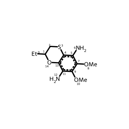 CCC1CSc2c(N)c(OC)c(OC)c(N)c2O1